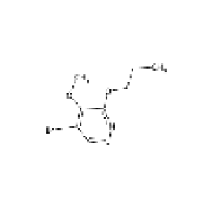 CCCOc1nccc(Br)c1OC